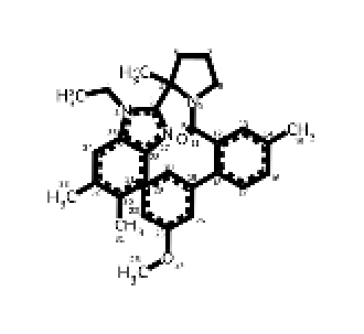 CCn1c(C2(C)CCCN2C(=O)c2cc(C)ccc2-c2cccc(OC)c2)nc2cc(C)c(C)cc21